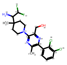 Cc1nc(N2CCC(C)(C(N)C(F)F)CC2)c(CO)nc1-c1cccc(Cl)c1Cl